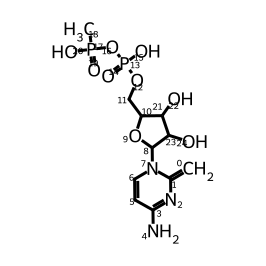 C=C1N=C(N)C=CN1C1OC(COP(=O)(O)OP(C)(=O)O)C(O)C1O